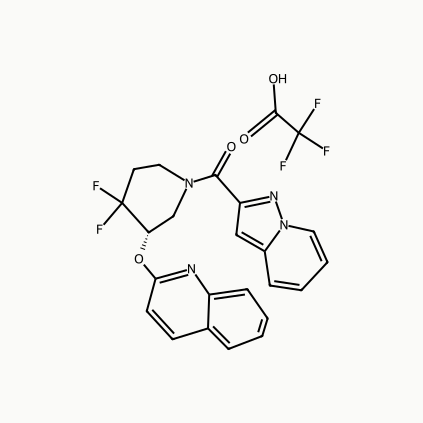 O=C(O)C(F)(F)F.O=C(c1cc2ccccn2n1)N1CCC(F)(F)[C@@H](Oc2ccc3ccccc3n2)C1